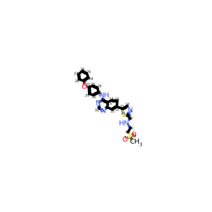 CS(=O)(=O)CCNCc1ncc(-c2ccc3c(Nc4ccc(Oc5ccccc5)cc4)ncnc3c2)s1